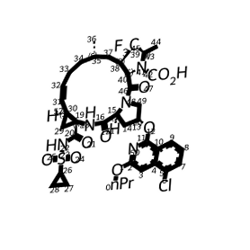 CCCOc1cc2c(Cl)cccc2c(O[C@@H]2C[C@H]3C(=O)N[C@]4(C(=O)NS(=O)(=O)C5CC5)C[C@H]4C=CCC[C@H](C)C[C@@H](C)[C@H](N(C(=O)O)[C@H](C)C(F)(F)F)C(=O)N3C2)n1